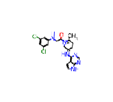 C[C@@H]1CC[C@H](Nc2ncnc3[nH]ccc23)CN1C(=O)CNc1cc(Cl)cc(Cl)c1